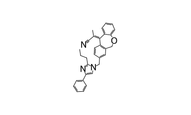 CCCc1nc(-c2ccccc2)cn1Cc1ccc2c(c1)COc1ccccc1/C2=C(\C)C#N